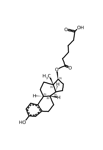 C[C@]12CC[C@@H]3c4ccc(O)cc4CC[C@H]3[C@@H]1CC[C@@H]2OC(=O)CCCCC(=O)O